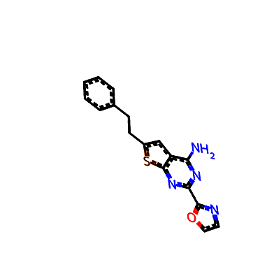 Nc1nc(-c2ncco2)nc2sc(CCc3ccccc3)cc12